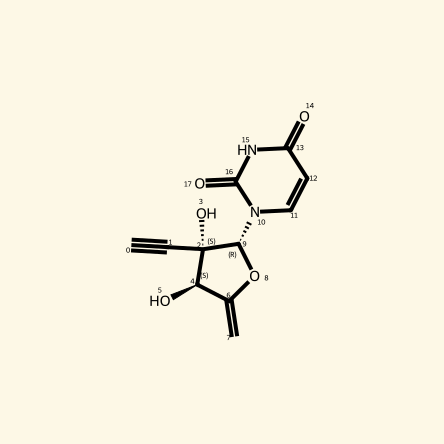 C#C[C@]1(O)[C@H](O)C(=C)O[C@H]1n1ccc(=O)[nH]c1=O